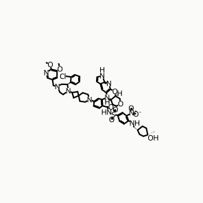 COc1cc(CN2CCN(C3CC4(CCN(c5ccc(C(=O)NS(=O)(=O)c6ccc(NC[C@H]7CC[C@](C)(O)CC7)c([N+](=O)[O-])c6)c(N6c7cc8cc[nH]c8nc7O[C@H]7COCC[C@@H]76)c5)CC4)C3)[C@H](c3ccccc3Cl)C2)cnc1OC